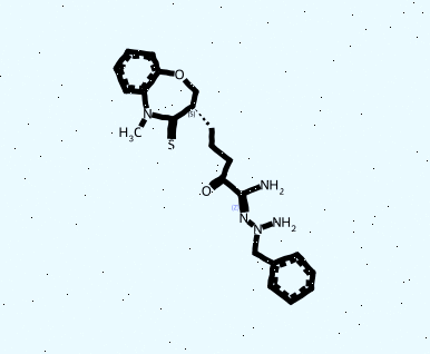 CN1C(=S)[C@@H](CCCC(=O)/C(N)=N/N(N)Cc2ccccc2)COc2ccccc21